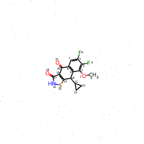 COc1c(F)c(F)cc2c1C(C1CC1)c1s[nH]c(=O)c1C2=O